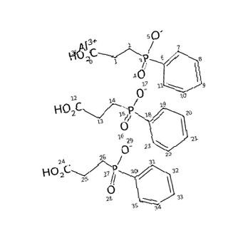 O=C(O)CCP(=O)([O-])c1ccccc1.O=C(O)CCP(=O)([O-])c1ccccc1.O=C(O)CCP(=O)([O-])c1ccccc1.[Al+3]